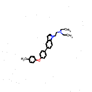 CCN(CC)CCn1ccc2cc(-c3ccc(Oc4ccc(C)cc4)cc3)ccc21